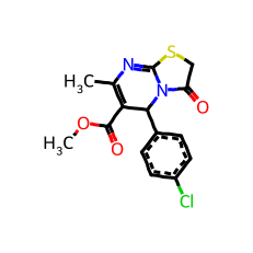 COC(=O)C1=C(C)N=C2SCC(=O)N2C1c1ccc(Cl)cc1